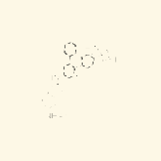 CC(=O)NC1CCC(CC(=O)Nc2cnc(-c3ccc(C4(N)CC(F)C4)cc3)c(-c3ccccc3)c2)CC1